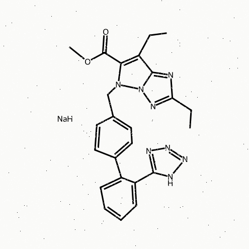 CCc1nc2c(CC)c(C(=O)OC)n(Cc3ccc(-c4ccccc4-c4nnn[nH]4)cc3)n2n1.[NaH]